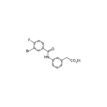 CCOC(=O)Cc1cccc(NC(=O)c2ccc(F)c(Br)c2)c1